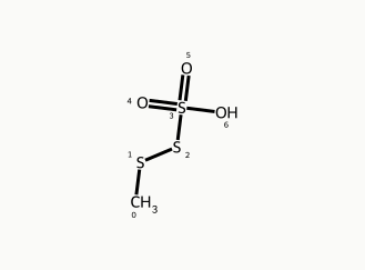 CSSS(=O)(=O)O